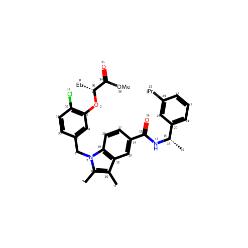 CC[C@@H](Oc1cc(Cn2c(C)c(C)c3cc(C(=O)N[C@@H](C)c4cccc(C(C)C)c4)ccc32)ccc1Cl)C(=O)OC